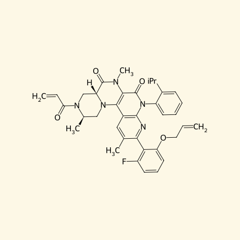 C=CCOc1cccc(F)c1-c1nc2c(cc1C)c1c(c(=O)n2-c2ccccc2C(C)C)N(C)C(=O)[C@H]2CN(C(=O)C=C)[C@H](C)CN12